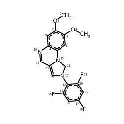 COc1cc2c(cc1OC)N1CN(c3c(F)cc(F)cc3F)C=C1C=N2